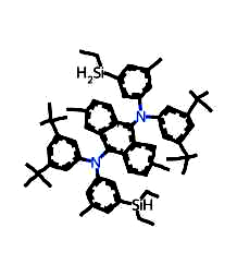 CC[SiH2]c1cc(C)cc(N(c2cc(C(C)(C)C)cc(C(C)(C)C)c2)c2c3ccc(C)cc3c(N(c3cc(C)cc([SiH](CC)CC)c3)c3cc(C(C)(C)C)cc(C(C)(C)C)c3)c3ccc(C)cc23)c1